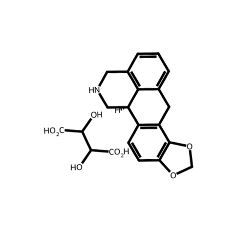 O=C(O)C(O)C(O)C(=O)O.c1cc2c3c(c1)Cc1c(ccc4c1OCO4)[C@H]3CNC2